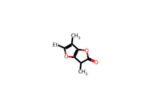 CCc1oc2c(c1C)OC(=O)C2C